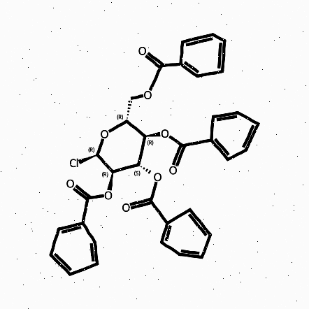 O=C(OC[C@H]1O[C@H](Cl)[C@H](OC(=O)c2ccccc2)[C@@H](OC(=O)c2ccccc2)[C@@H]1OC(=O)c1ccccc1)c1ccccc1